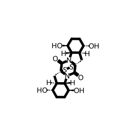 O=C1N2[C@H]3[C@H](C[C@]24SS[C@]12C[C@H]1[C@@H]([C@@H](O)CC[C@@H]1O)N2C4=O)[C@@H](O)CC[C@@H]3O